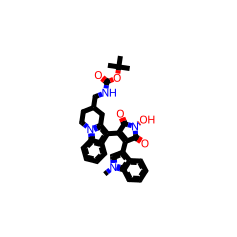 Cn1cc(C2=C(c3c4n(c5ccccc35)CCC(CNC(=O)OC(C)(C)C)C4)C(=O)N(O)C2=O)c2ccccc21